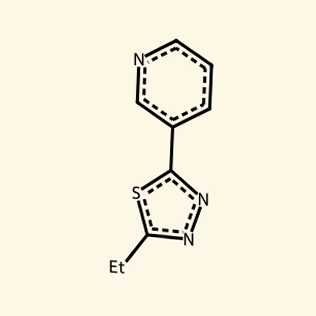 CCc1nnc(-c2cccnc2)s1